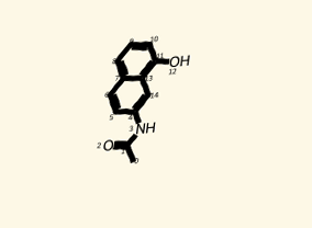 CC(=O)Nc1ccc2cccc(O)c2c1